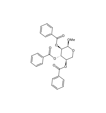 CO[C@H]1OC[C@@H](OC(=O)c2ccccc2)[C@H](OC(=O)c2ccccc2)[C@H]1OC(=O)c1ccccc1